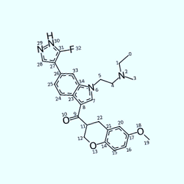 CCN(C)CCn1cc(C(=O)C2COc3ccc(OC)cc3C2)c2ccc(-c3cn[nH]c3F)cc21